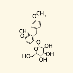 COc1ccc(Cc2cc(OC)ccc2O[C@@H]2O[C@H](CO)[C@@H](O)[C@H](O)[C@H]2O)cc1